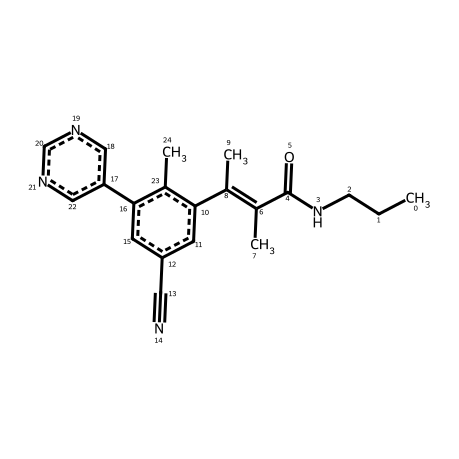 CCCNC(=O)/C(C)=C(\C)c1cc(C#N)cc(-c2cncnc2)c1C